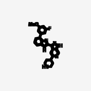 COc1cc(F)cc(-c2cccc3[nH]c(-c4n[nH]c5cnc(C6=CCNCC6)cc45)nc23)c1